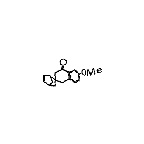 COc1ccc2c(c1)C(=O)CC1(C2)CC2C=CC1C2